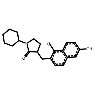 O=C1C(Cc2ccc3cc(O)ccc3c2Cl)CCN1C1CCCCC1